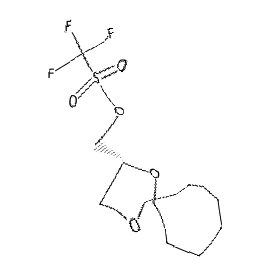 O=S(=O)(OC[C@H]1COC2(CCCCC2)O1)C(F)(F)F